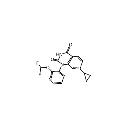 O=c1[nH]c(=O)n(-c2cccnc2OC(F)F)c2cc(C3CC3)ccc12